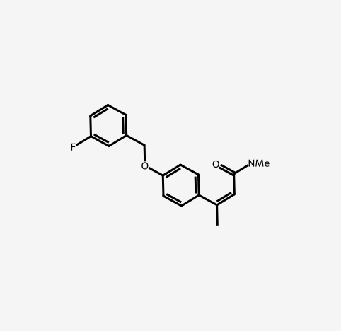 CNC(=O)/C=C(/C)c1ccc(OCc2cccc(F)c2)cc1